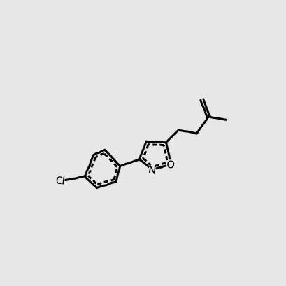 C=C(C)CCc1cc(-c2ccc(Cl)cc2)no1